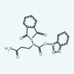 NC(=O)CCN(C(=O)On1nnc2ccccc21)N1C(=O)c2ccccc2C1=O